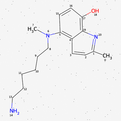 Cc1ccc2c(N(C)CCCCCCN)ccc(O)c2n1